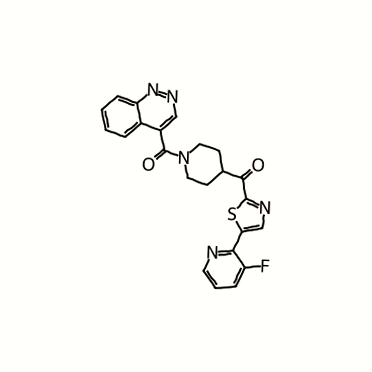 O=C(c1ncc(-c2ncccc2F)s1)C1CCN(C(=O)c2cnnc3ccccc23)CC1